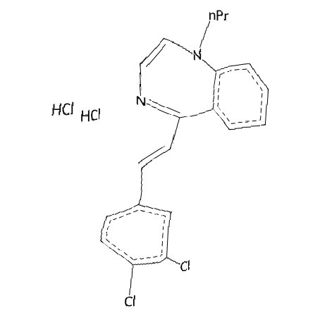 CCCN1C=CN=C(C=Cc2ccc(Cl)c(Cl)c2)c2ccccc21.Cl.Cl